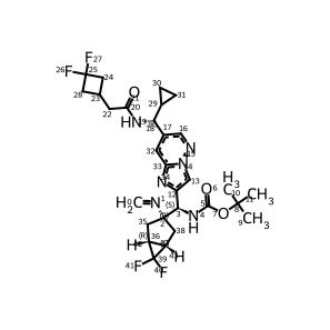 C=N[C@@]1([C@H](NC(=O)OC(C)(C)C)c2cn3ncc([C@H](NC(=O)CC4CC(F)(F)C4)C4CC4)cc3n2)C[C@@H]2[C@H](C1)C2(F)F